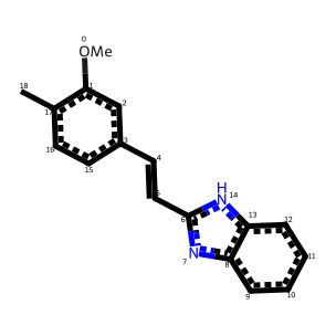 COc1cc(/C=C/c2nc3ccccc3[nH]2)ccc1C